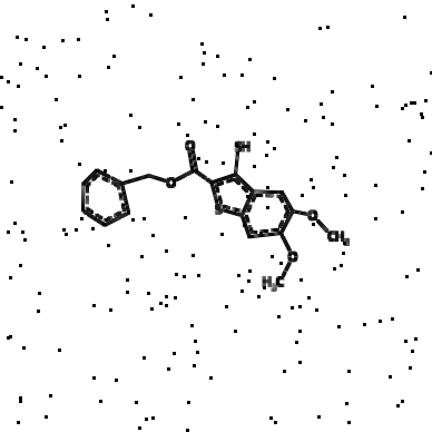 COc1cc2sc(C(=O)OCc3ccccc3)c(S)c2cc1OC